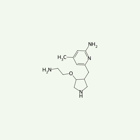 Cc1cc(N)nc(CC2CNCC2OCCN)c1